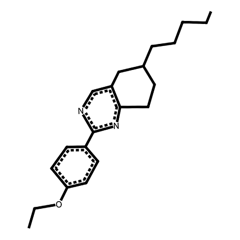 CCCCCC1CCc2nc(-c3ccc(OCC)cc3)ncc2C1